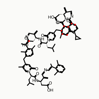 C=C(/C=N\C=C(/C)c1c(C)ccc(Cc2cc(=O)n([C@H](CC(C)C)C(=O)N[C@H](CC(=O)O)C(=C)/C=N\C=C(/C)c3c(C)cccc3C)cc2C)c1C)[C@@H](CC(=O)O)NC(=O)[C@@H](CC(C)C)n1ccc(Cc2ccc(C)c(/C(C)=C/N=C\C(=C)[C@@H](CC(=O)O)NC(=O)[C@@H](CC(C)C)n3cc(C4CC4)ccc3=O)c2C)cc1=O